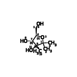 CC1(C)O[C@H](CO)[C@@H](O)[C@@]1(C)O